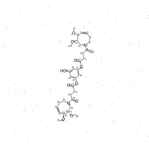 COC1C#CCCN(C(=O)CCC(=O)Oc2cc(O)cc(OC(=O)CCC(=O)N3CCC#C[C@H](OC)[C@@H](OC)C3)c2)CC1OC